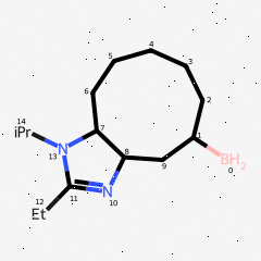 BC1CCCCCC2C(C1)N=C(CC)N2C(C)C